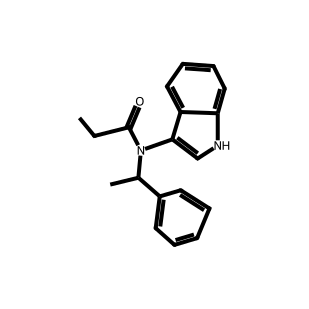 CCC(=O)N(c1c[nH]c2ccccc12)C(C)c1ccccc1